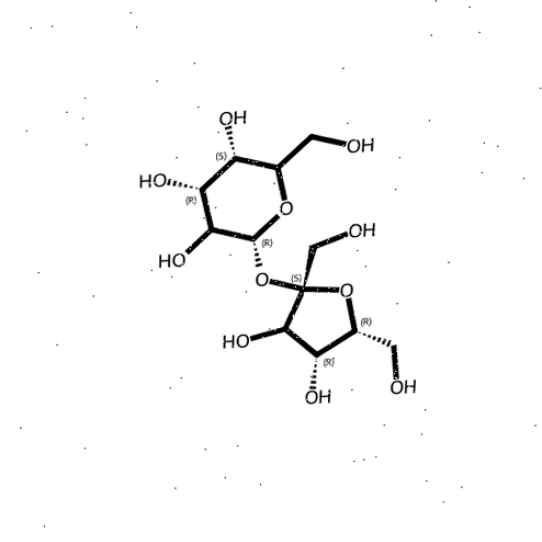 OCC1O[C@H](O[C@]2(CO)O[C@H](CO)[C@H](O)C2O)C(O)[C@H](O)[C@@H]1O